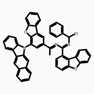 CCC(/N=C(\N=C(/C)c1cc(-n2c3ccccc3c3cc4ccccc4cc32)c2oc3ccccc3c2c1)c1cccc2oc3ccccc3c12)c1ccccc1